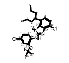 CCCC(CCC)c1ccc(Cl)c2nc(Nc3ccc(Cl)cc3OC(F)(F)F)n(C)c12